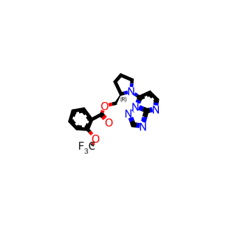 O=C(OC[C@H]1CCCN1c1ccnc2ncnn12)c1ccccc1OC(F)(F)F